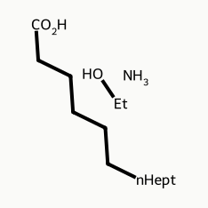 CCCCCCCCCCCCC(=O)O.CCO.N